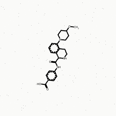 COC1CCN(c2cccc3c2CCNC3C(=O)Nc2ccc(C(=O)O)cc2)CC1